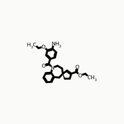 CCOC(=O)C1=C[C@@]2(CC1)CCN(C(=O)c1ccc(N)c(OCC)c1)c1ccccc1C2